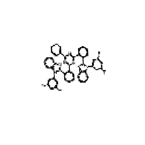 FC1=CC(F)CC(n2c(-c3ccccc3-c3nc(C4=CCCC=C4)nc(-c4ccccc4-c4nc5ccccc5n4-c4cc(F)cc(F)c4)n3)nc3ccccc32)=C1